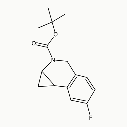 CC(C)(C)OC(=O)N1Cc2ccc(F)cc2C2CC21